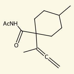 C=C=C(C)C1(C(=O)NC(C)=O)CCC(C)CC1